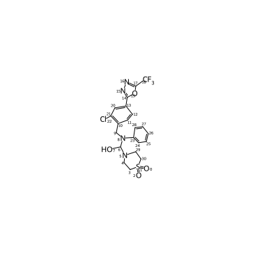 O=S1(=O)CCN(C(O)N(Cc2ccc(-c3nnc(C(F)(F)F)o3)cc2Cl)c2ccccc2)CC1